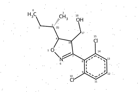 CC[C@H](C)C1ON=C(c2c(Cl)cccc2Cl)C1CO